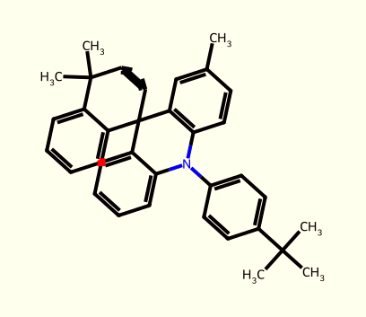 Cc1ccc2c(c1)C1(c3ccccc3N2c2ccc(C(C)(C)C)cc2)c2ccccc2C(C)(C)c2ccccc21